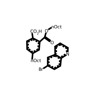 Brc1ccc2ncccc2c1.CCCCCCCCOC(=O)c1cc(CCCCCCCC)ccc1C(=O)O